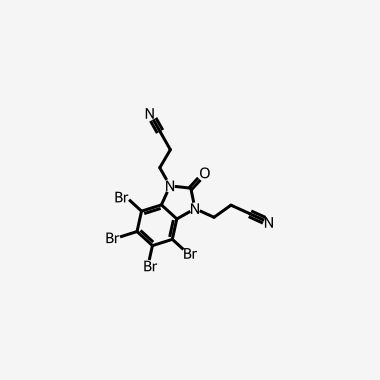 N#CCCn1c(=O)n(CCC#N)c2c(Br)c(Br)c(Br)c(Br)c21